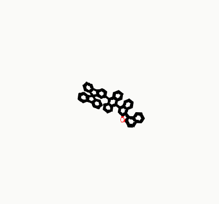 c1ccc2c(c1)-c1ccccc1C21c2ccccc2-c2ccc(-c3c4ccccc4c(-c4cc5oc6ccc7ccccc7c6c5c5ccccc45)c4ccccc34)cc21